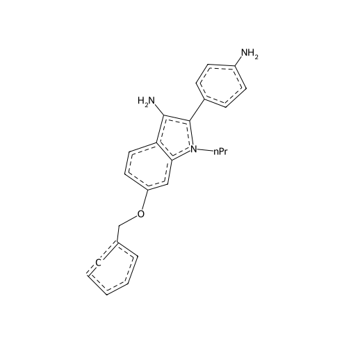 CCCn1c(-c2ccc(N)cc2)c(N)c2ccc(OCc3ccccc3)cc21